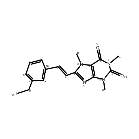 Cn1c(=O)c2c(nc(/C=C/c3cccc(CI)c3)n2C)n(C)c1=O